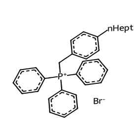 CCCCCCCc1ccc(C[P+](c2ccccc2)(c2ccccc2)c2ccccc2)cc1.[Br-]